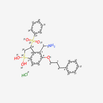 Cl.NCc1c(OCCCc2ccccc2)ccc2c1C(S(=O)(=O)c1ccccc1)CS2(O)O